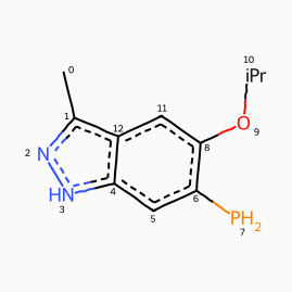 Cc1n[nH]c2cc(P)c(OC(C)C)cc12